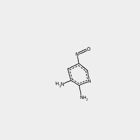 Nc1cc(N=O)cnc1N